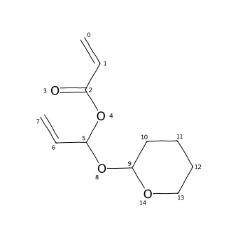 C=CC(=O)OC(C=C)OC1CCCCO1